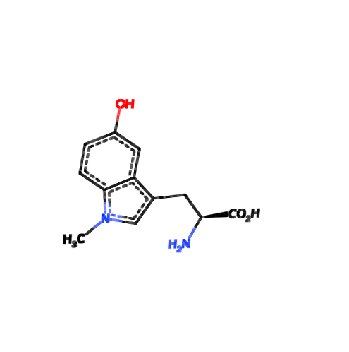 Cn1cc(C[C@H](N)C(=O)O)c2cc(O)ccc21